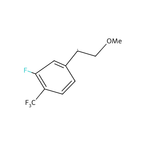 COC[CH]c1ccc(C(F)(F)F)c(F)c1